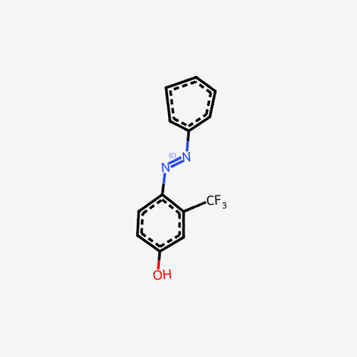 Oc1ccc(/N=N/c2ccccc2)c(C(F)(F)F)c1